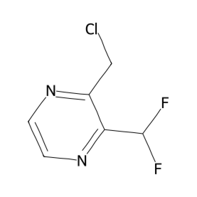 FC(F)c1nccnc1CCl